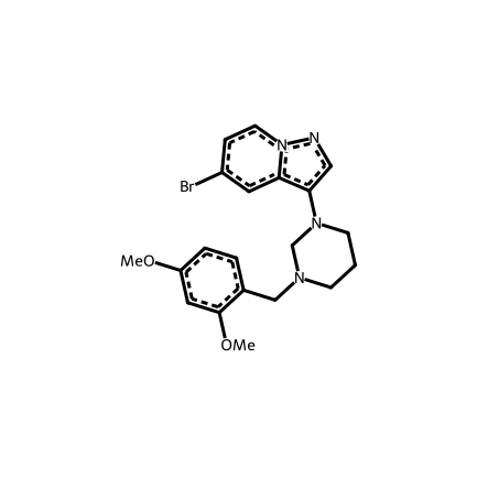 COc1ccc(CN2CCCN(c3cnn4ccc(Br)cc34)C2)c(OC)c1